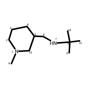 CN1CCCC(CNC(C)(C)C)C1